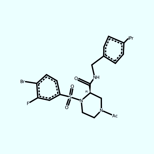 CC(=O)N1CCN(S(=O)(=O)c2ccc(Br)c(F)c2)[C@@H](C(=O)NCc2ccc(C(C)C)cc2)C1